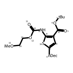 CCCCCCCCCCc1cc(C(=O)OC(C)(C)C)c(NC(=O)OCCOC)s1